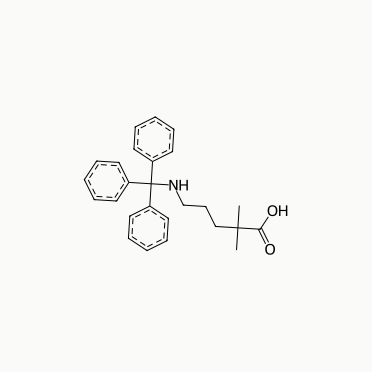 CC(C)(CCCNC(c1ccccc1)(c1ccccc1)c1ccccc1)C(=O)O